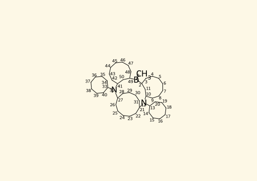 CB1C2CCCCCCCC(C2)N(C2CCCCCCC2)C2CCCCCC(CCCC2)N(C2CCCCCCC2)C2CCCCCCCC1C2